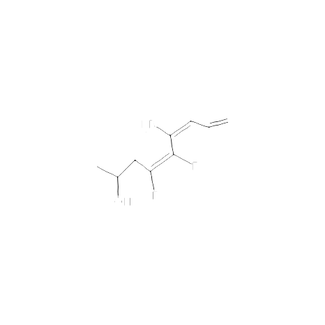 BC(=C/C=C)/C(F)=C(/F)CC(C)O